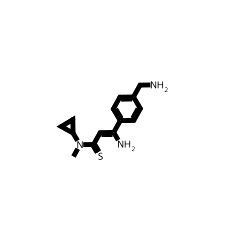 CN(C(=S)C=C(N)c1ccc(CN)cc1)C1CC1